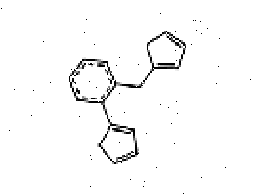 C1=CCC(Cc2ccccc2C2=CC=CC2)=C1